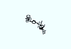 CS(=O)(=O)OCC1CCC(CCNc2ncc(Br)cn2)CC1